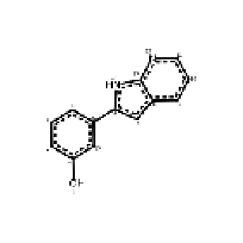 Oc1cccc(-c2cc3cccnc3[nH]2)c1